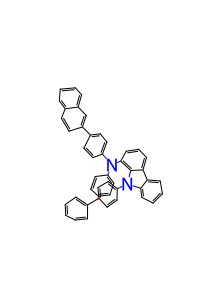 c1ccc(-c2ccc(-n3c4ccccc4c4cccc(N(c5ccccc5)c5ccc(-c6ccc7ccccc7c6)cc5)c43)cc2)cc1